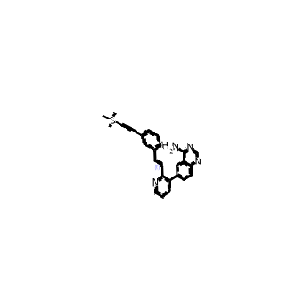 CS(C)(C)C#Cc1cccc(/C=C/c2ncccc2-c2ccc3ncnc(N)c3c2)c1